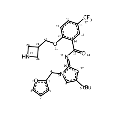 CC(C)(C)c1cn(Cc2ccco2)/c(=N/C(=O)c2cc(C(F)(F)F)ccc2OCC2CNC2)s1